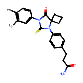 [C-]#[N+]c1ccc(N2C(=O)C3(CCC3)N(c3ccc(CCC(N)=O)cc3)C2=S)cc1C(F)(F)F